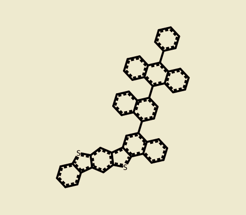 c1ccc(-c2c3ccccc3c(-c3ccc(-c4cc5c6cc7sc8ccccc8c7cc6sc5c5ccccc45)c4ccccc34)c3ccccc23)cc1